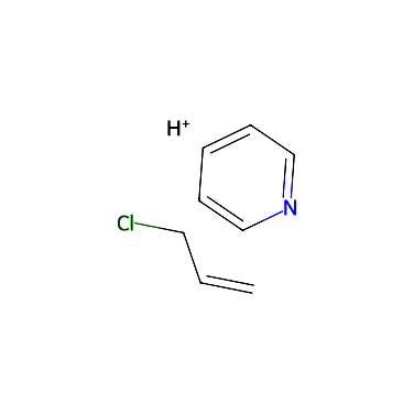 C=CCCl.[H+].c1ccncc1